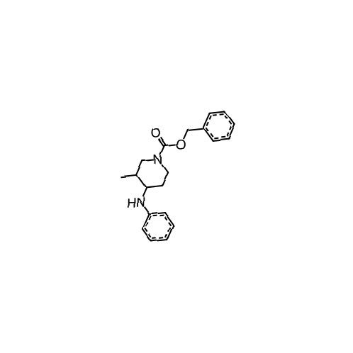 CC1CN(C(=O)OCc2ccccc2)CCC1Nc1ccccc1